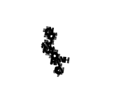 N=C(NCc1ccccn1)c1ccc(-c2cnc3ncc(Cc4ccc5ncccc5c4)n3n2)cc1F